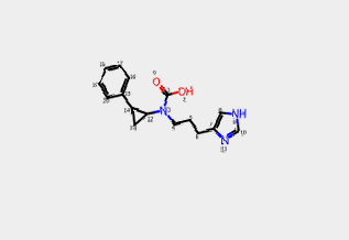 O=C(O)N(CCCc1c[nH]cn1)C1CC1c1ccccc1